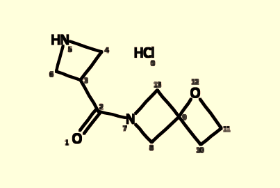 Cl.O=C(C1CNC1)N1CC2(CCO2)C1